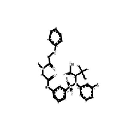 CN(CC(=O)Nc1cccc(S(=O)(=O)N(c2cccc(Cl)c2)C(C(=O)O)C(C)(C)C)c1)C(=O)COc1ccccc1